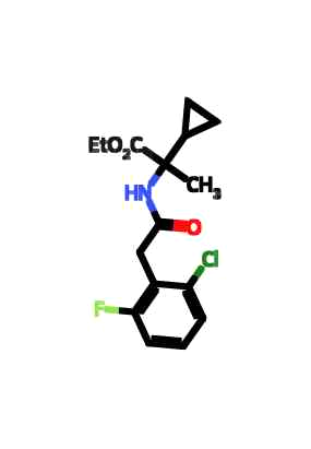 CCOC(=O)C(C)(NC(=O)Cc1c(F)cccc1Cl)C1CC1